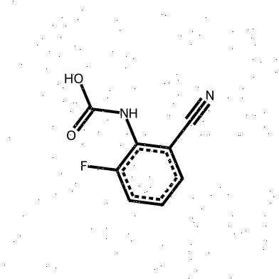 N#Cc1cccc(F)c1NC(=O)O